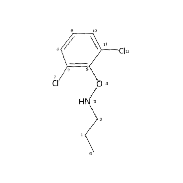 CCCNOc1c(Cl)cccc1Cl